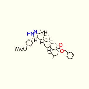 COc1ccc([C@@H]2NN=C3[C@@H]2C[C@]2(C)[C@H]4CC=C5[C@H]6[C@H](C)[C@H](C)CC[C@@]6(C(=O)OCc6ccccc6)CC[C@]5(C)[C@]4(C)CC[C@H]2C3(C)C)cc1